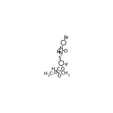 CCOC(=O)C(C)(C)Oc1ccc(SCn2ncn(-c3ccc(Br)cc3)c2=O)cc1F